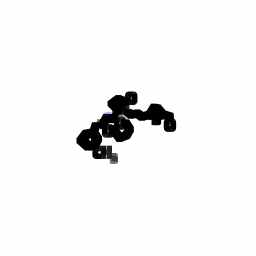 Cc1cccc(C[C@@H](/C=C/[C@H]2CCC(=O)N2CCCc2ccc(C=O)s2)OC2CCCCO2)c1